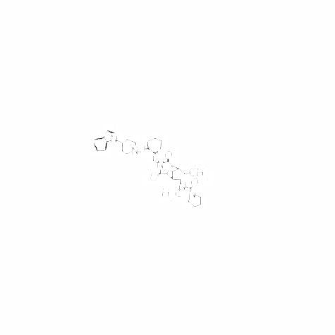 CC1C2CC(C3C(=O)N(C[C@@H]4CCCC[C@H]4CN4CCC(n5ccc6ccccc65)CC4)C(=O)C23)C1N(C)C(=O)N1CCCC1